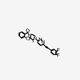 O=C(c1ccccc1C(F)(F)F)N1CCN(c2ccc(C#Cc3ccc(F)c(F)c3)nn2)CC1